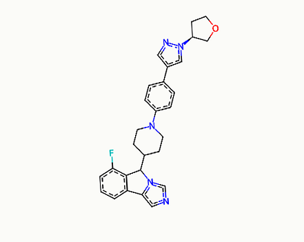 Fc1cccc2c1C(C1CCN(c3ccc(-c4cnn([C@H]5CCOC5)c4)cc3)CC1)n1cncc1-2